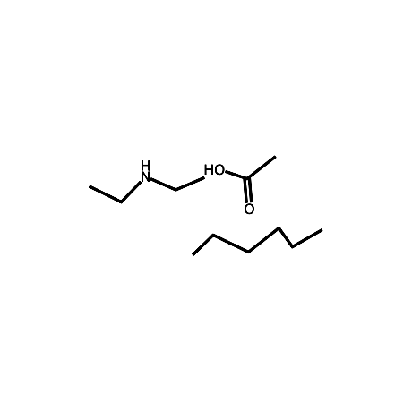 CC(=O)O.CCCCCC.CCNCC